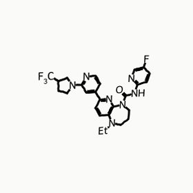 CCN1CCCN(C(=O)Nc2ccc(F)cn2)c2nc(-c3ccnc(N4CCC(C(F)(F)F)C4)c3)ccc21